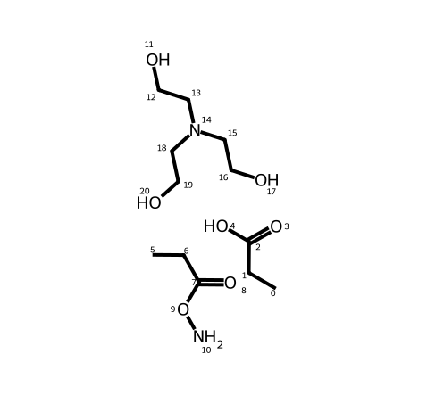 CCC(=O)O.CCC(=O)ON.OCCN(CCO)CCO